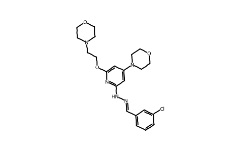 Clc1cccc(C=NNc2cc(N3CCOCC3)cc(OCCN3CCOCC3)n2)c1